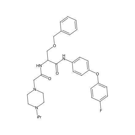 CC(C)N1CCN(CC(=O)NC(COCc2ccccc2)C(=O)Nc2ccc(Oc3ccc(F)cc3)cc2)CC1